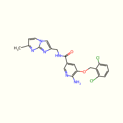 Cc1ccn2cc(CNC(=O)c3cnc(N)c(OCc4c(Cl)cccc4Cl)c3)nc2n1